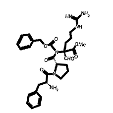 COC(=O)[C@@](C=O)(CCCNC(=N)N)N(C(=O)OCc1ccccc1)C(=O)[C@@H]1CCCN1C(=O)[C@H](N)Cc1ccccc1